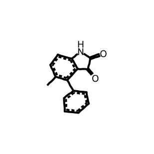 Cc1ccc2c(c1-c1ccccc1)C(=O)C(=O)N2